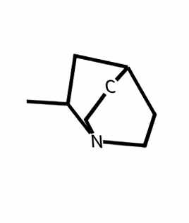 CC1CC2CCN1CC2